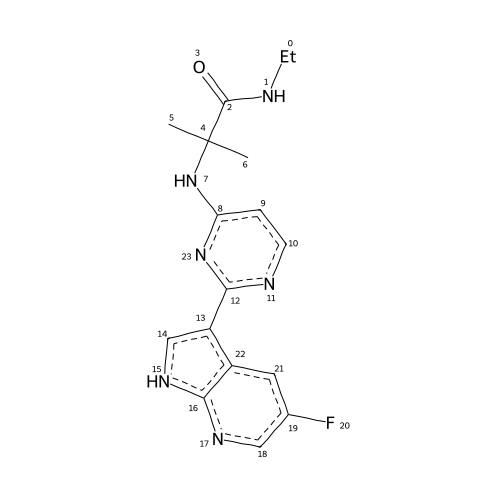 CCNC(=O)C(C)(C)Nc1ccnc(-c2c[nH]c3ncc(F)cc23)n1